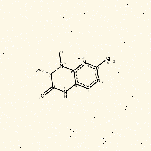 C[C@H]1C(=O)Nc2cnc(N)nc2N1C